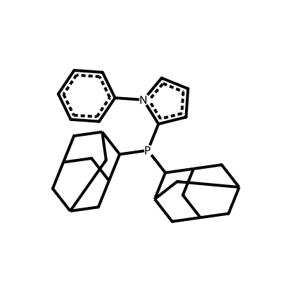 c1ccc(-n2cccc2P(C2C3CC4CC(C3)CC2C4)C2C3CC4CC(C3)CC2C4)cc1